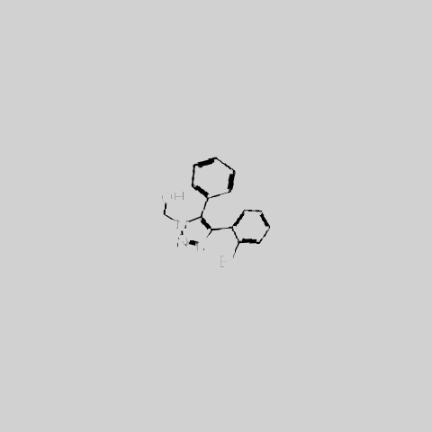 OCn1nnc(-c2ccccc2Br)c1-c1ccccc1